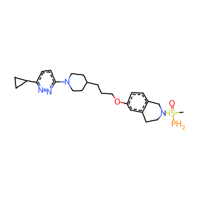 C[SH](=O)(P)N1CCc2cc(OCCCC3CCN(c4ccc(C5CC5)nn4)CC3)ccc2C1